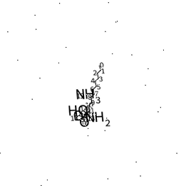 CCCCCCCCCCCCC(N)(O)C(=O)OC.N